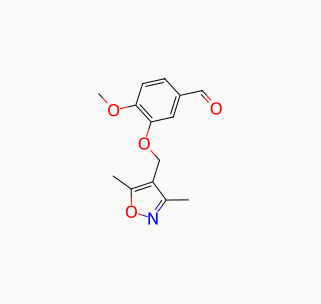 COc1ccc(C=O)cc1OCc1c(C)noc1C